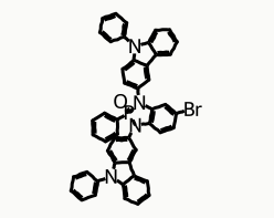 O=P1(c2ccccc2)N(c2ccc3c(c2)c2ccccc2n3-c2ccccc2)c2ccc(Br)cc2N1c1ccc2c(c1)c1ccccc1n2-c1ccccc1